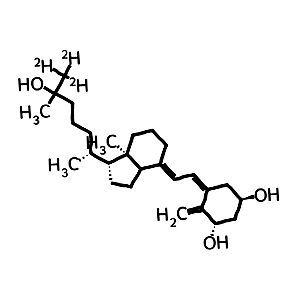 [2H]C([2H])([2H])C(C)(O)CCC[C@@H](C)[C@H]1CCC2/C(=C/C=C3/C[C@@H](O)C[C@H](O)C3=C)CCC[C@@]21C